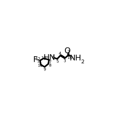 NC(=O)C=CCN[C@@H]1CCC[C@H](F)C1